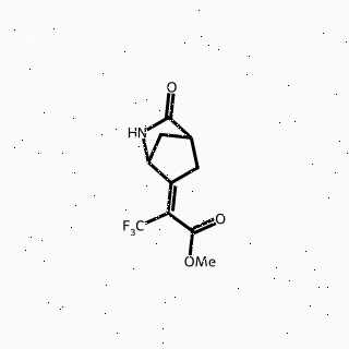 COC(=O)/C(=C1\CC2CC1NC2=O)C(F)(F)F